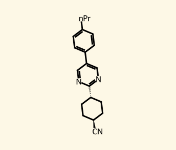 CCCc1ccc(-c2cnc([C@H]3CC[C@H](C#N)CC3)nc2)cc1